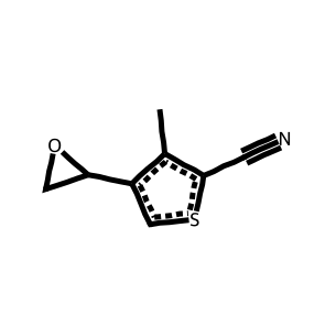 Cc1c(C2CO2)csc1C#N